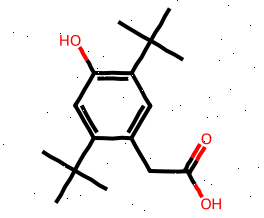 CC(C)(C)c1cc(CC(=O)O)c(C(C)(C)C)cc1O